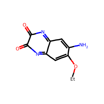 CCOc1cc2c(cc1N)=NC(=O)C(=O)N=2